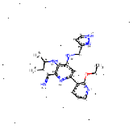 CCOc1ncccc1-c1cc(NCc2cc[nH]n2)c(NC(C)CC)c(C=N)n1